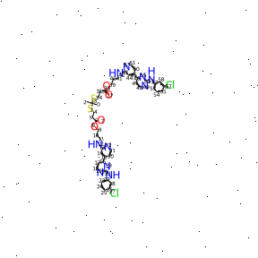 CC(C)(SCCC(=O)OCCCNc1cc(-c2ccnc(Nc3cccc(Cl)c3)n2)ccn1)SCCC(=O)OCCCNc1cc(-c2ccnc(Nc3cccc(Cl)c3)n2)ccn1